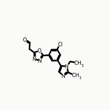 CCn1c(-c2cc(Cl)cc(-c3nnc(CC=O)o3)c2)cnc1C